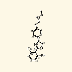 CCOCCc1ccc(C2COC(c3c(F)cccc3F)=N2)cc1